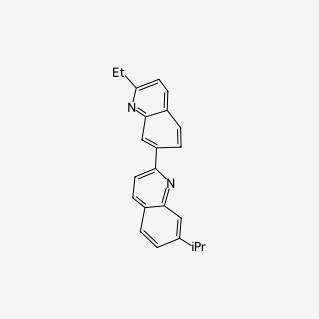 CCc1ccc2ccc(-c3ccc4ccc(C(C)C)cc4n3)cc2n1